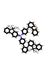 CC1(C)c2ccccc2-c2ccc(N(c3ccc(-c4ccccc4-c4cccc5c4C(C)(C)c4ccccc4-5)cc3)c3ccc(-c4cccc5sc6ccccc6c45)cc3)cc21